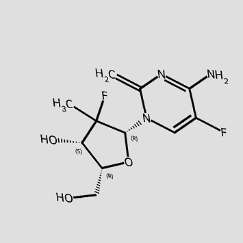 C=C1N=C(N)C(F)=CN1[C@@H]1O[C@H](CO)[C@H](O)C1(C)F